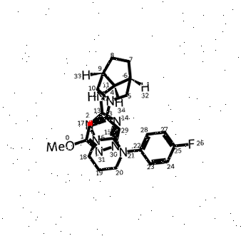 COc1cc(N2C[C@H]3CC[C@@H](C2)[C@H]3Nc2nc3n(n2)CCCN3c2ccc(F)cc2)cnn1